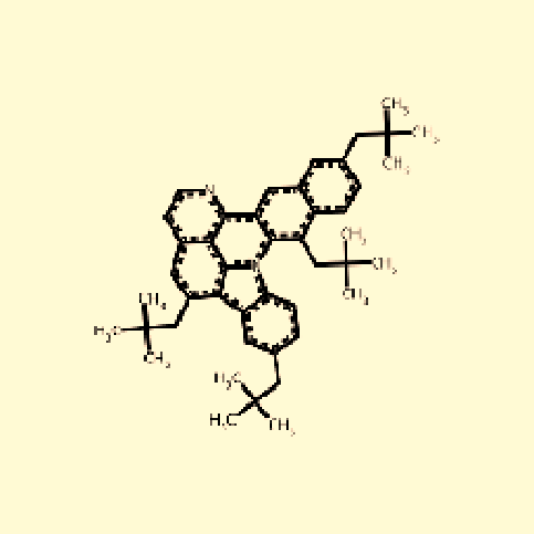 CC(C)(C)Cc1ccc2c(CC(C)(C)C)c3c(cc2c1)c1nccc2cc(CC(C)(C)C)c4c5cc(CC(C)(C)C)ccc5n3c4c21